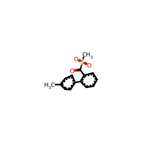 Cc1ccc(-c2ccccc2C(=O)S(C)(=O)=O)cc1